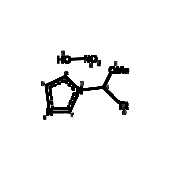 CCC(OC)n1ccnc1.O=[N+]([O-])O